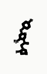 O=C(Cn1cncc1F)c1cnc(Oc2ccc(Br)cc2)cc1C(F)(F)F